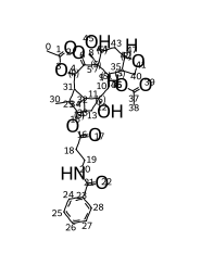 CC(=O)O[C@H]1C(=O)[C@@]2(C)[C@H](C[C@]3(O)C[C@H](OC(=O)CCNC(=O)c4ccccc4)C(C)C1C3(C)C)[C@]1(OC(C)=O)CO[C@@H]1C[C@@H]2O